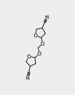 N#CC1COC(OCOC2CC(C#N)CO2)C1